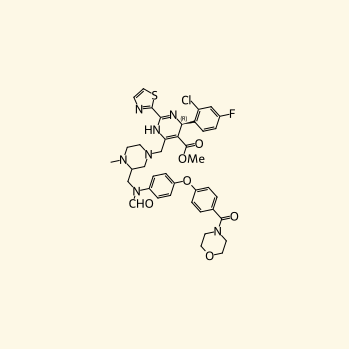 COC(=O)C1=C(CN2CCN(C)C(CN(C=O)c3ccc(Oc4ccc(C(=O)N5CCOCC5)cc4)cc3)C2)NC(c2nccs2)=N[C@H]1c1ccc(F)cc1Cl